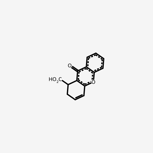 O=C(O)C1CC=Cc2oc3ccccc3c(=O)c21